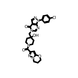 O=C(c1cc2n(n1)CCCO2)N1CCC(O)(Cn2cnc3c(cnn3-c3ccc(Cl)cc3)c2=O)CC1